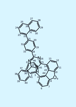 c1ccc(-c2cccc3oc4cccc(C5=NC(c6ccc(-c7cccc8ccccc78)cc6)=NC(c6ccccc6)N5)c4c23)cc1